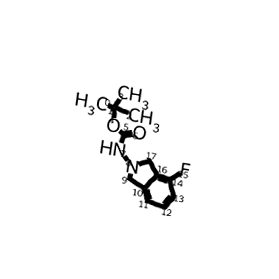 CC(C)(C)OC(=O)NN1Cc2cccc(F)c2C1